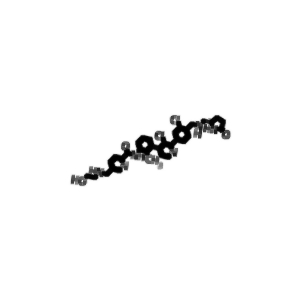 Cc1c(NC(=O)c2ccc(CNCCO)cn2)cccc1-c1ccnc(-c2ccc(CNC[C@H]3CCC(=O)N3)c(Cl)c2)c1Cl